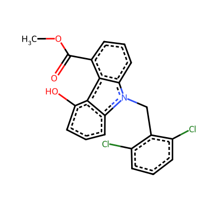 COC(=O)c1cccc2c1c1c(O)cccc1n2Cc1c(Cl)cccc1Cl